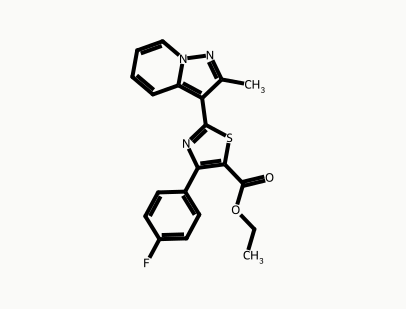 CCOC(=O)c1sc(-c2c(C)nn3ccccc23)nc1-c1ccc(F)cc1